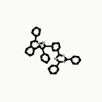 c1ccc(-c2nc(-c3ccccc3)nc(-c3cccc(-c4nn5c(-c6ccccc6)cc6ccccc6c5c4-c4ccccc4)c3)n2)cc1